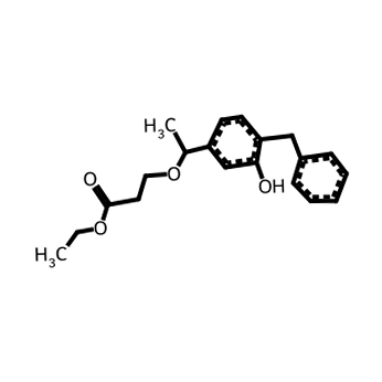 CCOC(=O)CCOC(C)c1ccc(Cc2ccccc2)c(O)c1